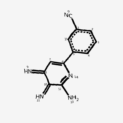 N#Cc1cccc(C2=CC(=N)C(=N)C(N)=N2)c1